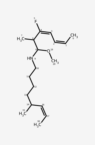 C/C=C\C=C(\F)C(C)C(NCCCCC(C)/C=C\C)OC